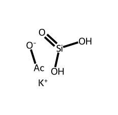 CC(=O)[O-].O=[Si](O)O.[K+]